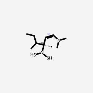 CCC(C)[C@@](C)(/C=C\N(C)C)N(S)S